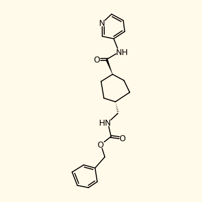 O=C(NC[C@H]1CC[C@H](C(=O)Nc2cccnc2)CC1)OCc1ccccc1